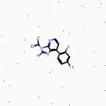 CCc1nc2c(-c3ccc(C(F)(F)F)cc3Cl)ccnc2n1C(CC)CC